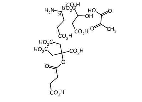 CC(=O)C(=O)O.N[C@@H](CCC(=O)O)C(=O)O.O=C(O)CC(O)C(=O)O.O=C(O)CCC(=O)OC(CC(=O)O)(CC(=O)O)C(=O)O